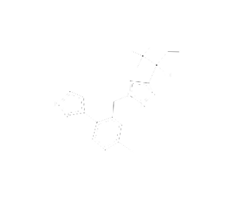 CCC(O)(c1cn(Cc2cc(F)ccc2-c2cc[nH]n2)nn1)C(F)(F)F